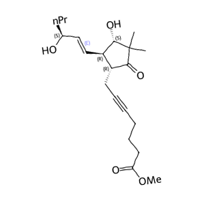 CCC[C@H](O)/C=C/[C@@H]1[C@@H](CC#CCCCC(=O)OC)C(=O)C(C)(C)[C@H]1O